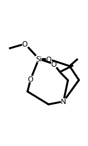 CO[Si]12OCCN(CC(C)O1)CC(C)O2